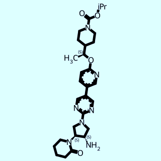 CC(C)OC(=O)N1CCC([C@H](C)Oc2ccc(-c3cnc(N4C[C@H](N)[C@@H](N5CCCCC5=O)C4)nc3)cn2)CC1